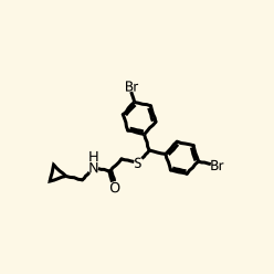 O=C(CSC(c1ccc(Br)cc1)c1ccc(Br)cc1)NCC1CC1